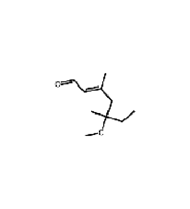 CCC(C)(CC(C)=CC=O)OC